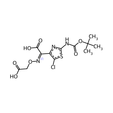 CC(C)(C)OC(=O)Nc1nc(/C(=N/OCC(=O)O)C(=O)O)c(Cl)s1